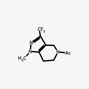 CC(=O)N1CCc2c(c(C(F)(F)F)nn2C)C1